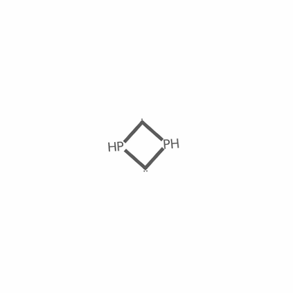 [C]1P[CH]P1